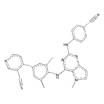 Cc1cc(-c2ccncc2C#N)cc(C)c1Nc1nc(Nc2ccc(C#N)cc2)nc2ccn(C)c12